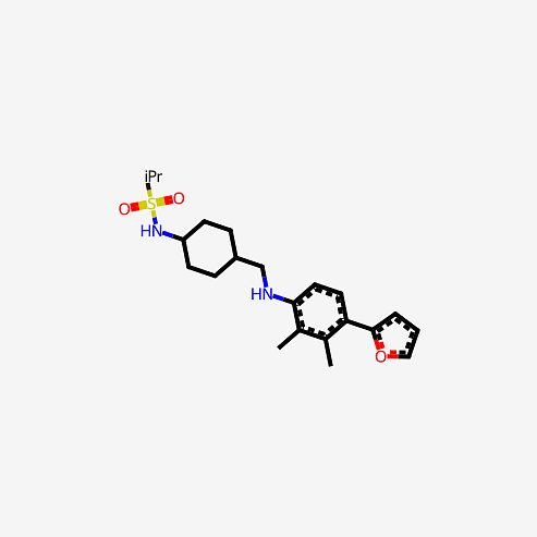 Cc1c(NCC2CCC(NS(=O)(=O)C(C)C)CC2)ccc(-c2ccco2)c1C